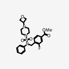 COC(=O)c1ccc(CN(c2ccccc2)S(=O)(=O)N2CCN(C3COC3)CC2)c(F)c1